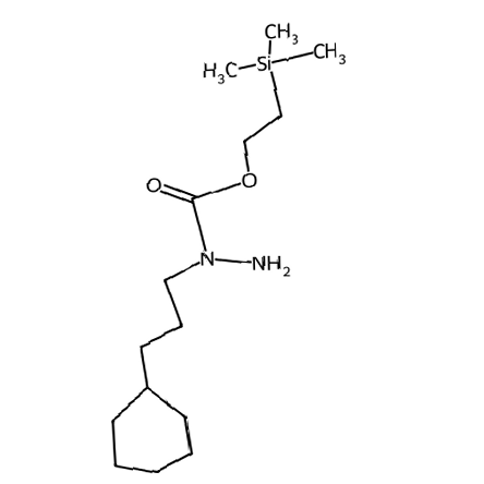 C[Si](C)(C)CCOC(=O)N(N)CCCC1CCCCC1